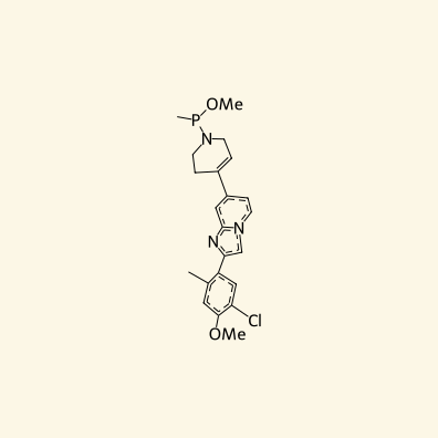 COc1cc(C)c(-c2cn3ccc(C4=CCN(P(C)OC)CC4)cc3n2)cc1Cl